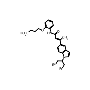 C/C(=C\C(=O)Nc1ccccc1OCCCC(=O)O)c1ccc2c(ccn2C(CC(C)C)CC(C)C)c1